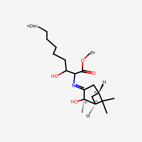 CCCCCCCCCCCCCCCC(O)C(N=C1C[C@H]2C[C@@H](C2(C)C)[C@@]1(C)O)C(=O)OC(C)C